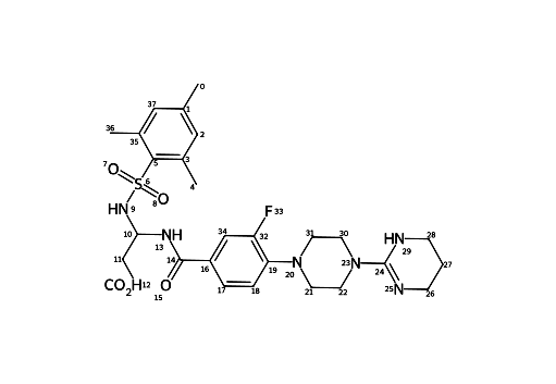 Cc1cc(C)c(S(=O)(=O)NC(CC(=O)O)NC(=O)c2ccc(N3CCN(C4=NCCCN4)CC3)c(F)c2)c(C)c1